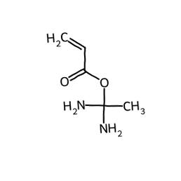 C=CC(=O)OC(C)(N)N